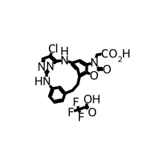 O=C(O)C(F)(F)F.O=C(O)Cn1c(=O)oc2c3cc(cc21)Nc1nc(ncc1Cl)Nc1cccc(c1)CC3